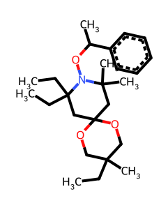 CCC1(C)COC2(CC(C)(C)N(OC(C)c3ccccc3)C(CC)(CC)C2)OC1